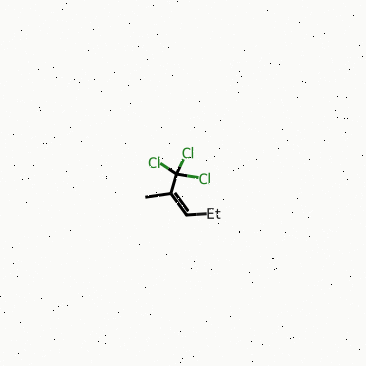 [CH2]CC=C(C)C(Cl)(Cl)Cl